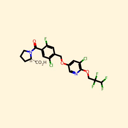 O=C(O)[C@@H]1CCCN1C(=O)c1cc(Cl)c(COc2cnc(OCC(F)(F)C(F)F)c(Cl)c2)cc1F